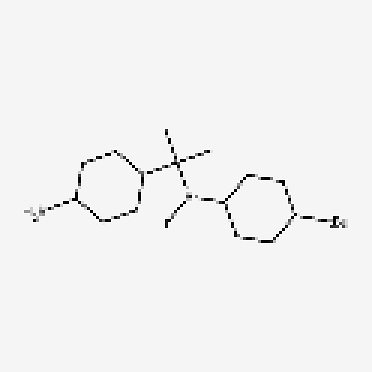 BC1CCC(C(C)(C)B(I)C2CCC(C(C)(C)C)CC2)CC1